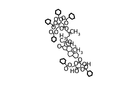 C[C@@H](CCC(=O)[C@@H](C)C1C(=O)CC2C3CCC4CC(O[C@@H]5OC(COC(=O)c6ccccc6)[C@H](O)C(OC(=O)c6ccccc6)C5O)CCC4(C)C3CCC21C)CO[C@@H]1OC(COC(=O)c2ccccc2)[C@H](OC(=O)c2ccccc2)C(OC(=O)c2ccccc2)C1OC(=O)c1ccccc1